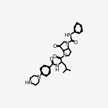 CC(C)CC(NC(=O)c1ccc(N2CCNCC2)cc1)C(=O)N1CCC2C1C(=O)CN2C(=O)Nc1ccccc1